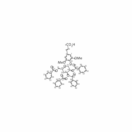 COc1cc(/C=C/C(=O)O)cc(OC)c1O[C@H]1O[C@H](COC(=O)c2ccccc2)[C@@H](OC(=O)c2ccccc2)[C@H](OC(=O)c2ccccc2)[C@@H]1OC(=O)c1ccccc1